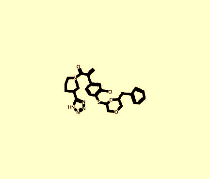 C=C(C(=O)N1CCCC(c2nnn[nH]2)C1)c1ccc(SC2COCC(Cc3ccccc3)O2)c(Cl)c1